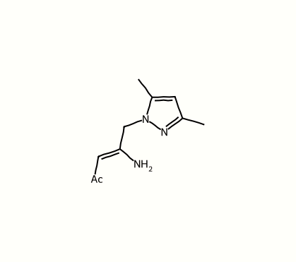 CC(=O)C=C(N)Cn1nc(C)cc1C